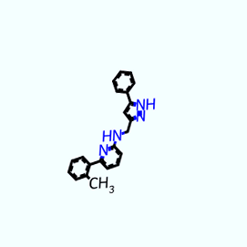 Cc1ccccc1-c1cccc(NCc2cc(-c3ccccc3)[nH]n2)n1